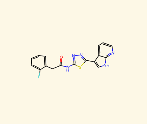 O=C(Cc1ccccc1F)Nc1nnc(-c2c[nH]c3ncccc23)s1